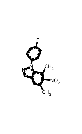 Cc1cc2cnn(-c3ccc(F)cc3)c2c(C)c1[N+](=O)[O-]